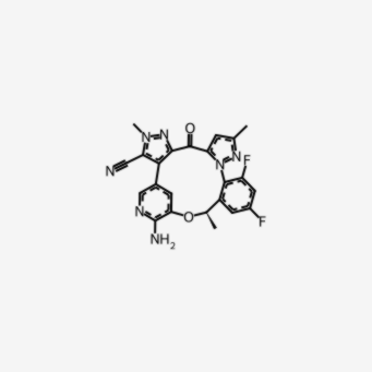 Cc1cc2n(n1)-c1c(F)cc(F)cc1[C@@H](C)Oc1cc(cnc1N)-c1c(nn(C)c1C#N)C2=O